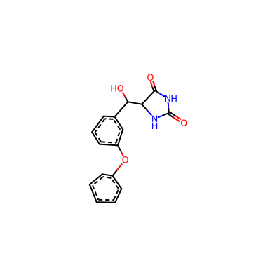 O=C1NC(=O)C(C(O)c2cccc(Oc3ccccc3)c2)N1